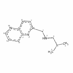 CC(C)CNCc1ccc2ncccc2n1